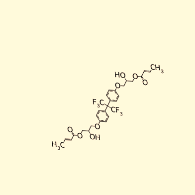 CC=CC(=O)OCC(O)COc1ccc(C(c2ccc(OCC(O)COC(=O)C=CC)cc2)(C(F)(F)F)C(F)(F)F)cc1